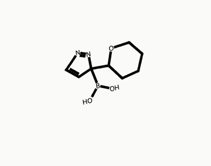 OB(O)C1(C2CCCCO2)C=CN=N1